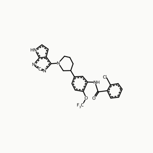 O=C(Nc1cc(C2CCCN(c3ncnc4[nH]ccc34)C2)ccc1OC(F)(F)F)c1ccccc1Cl